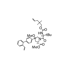 C=CCC(C)(C)COC(=O)N[C@H](C(=O)N1C[C@](OC)(c2ccc(-c3ccccc3C=C)cc2)C[C@H]1C(=O)OC)C(C)(C)C